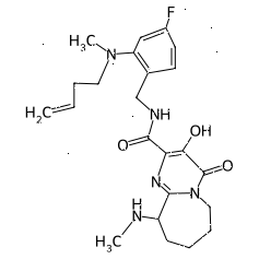 C=CCCN(C)c1cc(F)ccc1CNC(=O)c1nc2n(c(=O)c1O)CCCCC2NC